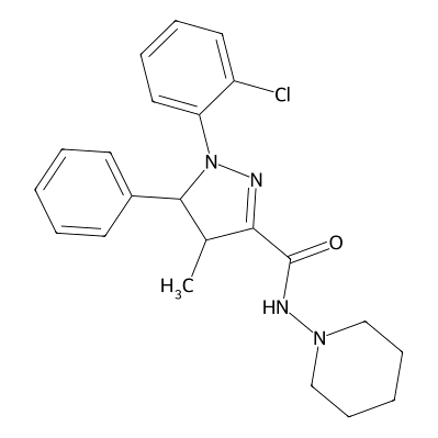 CC1C(C(=O)NN2CCCCC2)=NN(c2ccccc2Cl)C1c1ccccc1